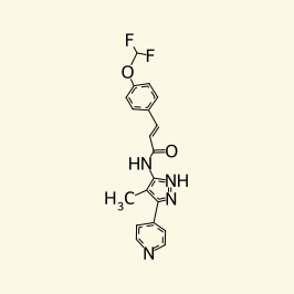 Cc1c(-c2ccncc2)n[nH]c1NC(=O)C=Cc1ccc(OC(F)F)cc1